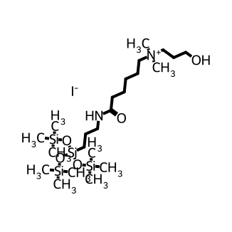 C[N+](C)(CCCO)CCCCCC(=O)NCCC[Si](O[Si](C)(C)C)(O[Si](C)(C)C)O[Si](C)(C)C.[I-]